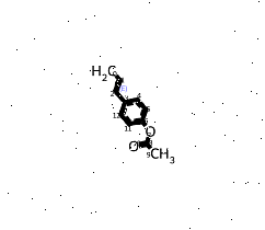 [CH2]/C=C/c1ccc(OC(C)=O)cc1